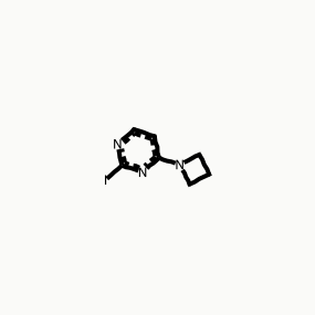 Ic1nccc(N2CCC2)n1